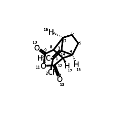 CC(C)=C1[C@H]2CC[C@@H]1C1C(=O)OC(=O)[C@H]12